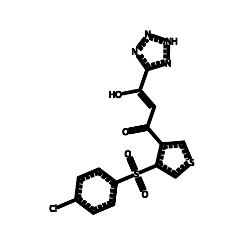 O=C(C=C(O)c1nn[nH]n1)c1cscc1S(=O)(=O)c1ccc(Cl)cc1